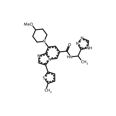 COC1CCN(c2cc(C(=O)NC(C)c3nnc[nH]3)cn3c(-c4ccc(C)s4)cnc23)CC1